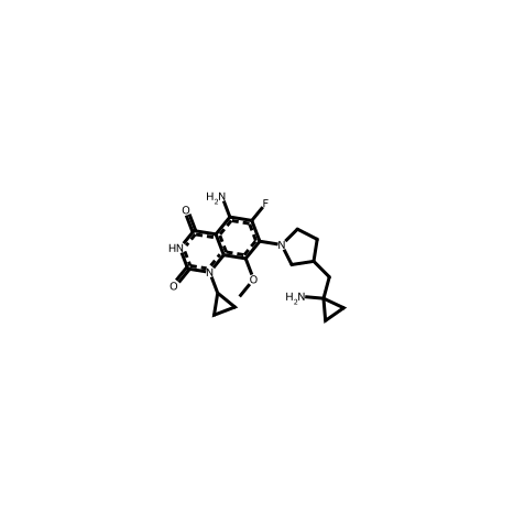 COc1c(N2CCC(CC3(N)CC3)C2)c(F)c(N)c2c(=O)[nH]c(=O)n(C3CC3)c12